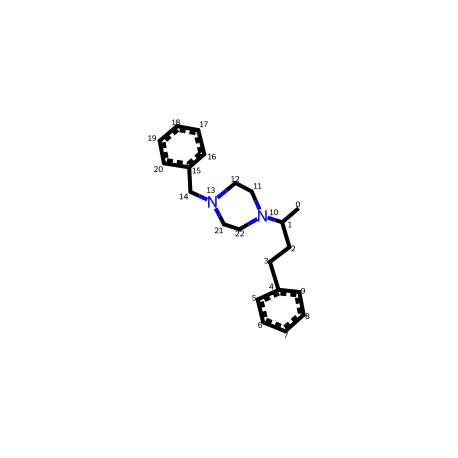 CC(CCc1ccccc1)N1CCN(Cc2ccccc2)CC1